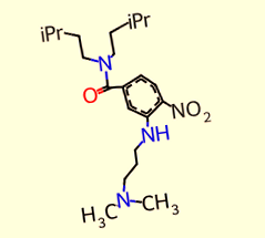 CC(C)CCN(CCC(C)C)C(=O)c1ccc([N+](=O)[O-])c(NCCCN(C)C)c1